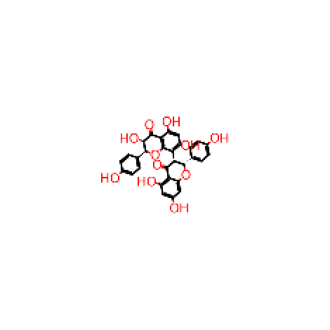 O=C1c2c(O)cc(O)c([C@@H]3C(=O)c4c(O)cc(O)cc4O[C@H]3c3ccc(O)cc3)c2O[C@@H](c2ccc(O)cc2)[C@H]1O